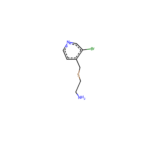 NCCSCc1ccncc1Br